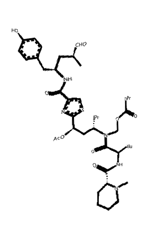 CCCC(=O)OCN(C(=O)C(NC(=O)[C@H]1CCCCN1C)C(C)CC)[C@H](C[C@@H](OC(C)=O)c1nc(C(=O)N[C@@H](Cc2ccc(O)cc2)C[C@H](C)C=O)cs1)C(C)C